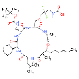 CCCCCC[C@H]1OC[C@@H](C)NC(=O)[C@H](COCC(F)(F)CNC(=O)O)NC(=O)[C@H](CNC(=O)OC(C)(C)C)NC(=O)[C@H](C2CCCCC2)NC(=O)[C@H](CC(C)C)N(C)C(=O)[C@@H]1C